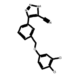 N#Cc1[nH]nnc1-c1cccc(COc2ccc(Cl)c(Cl)c2)c1